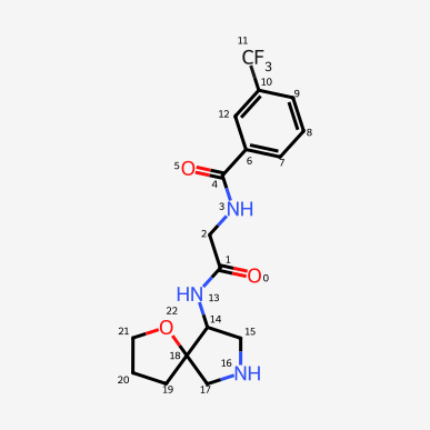 O=C(CNC(=O)c1cccc(C(F)(F)F)c1)NC1CNCC12CCCO2